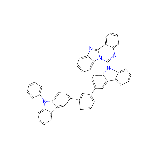 c1ccc(-n2c3ccccc3c3cc(-c4cccc(-c5ccc6c(c5)c5ccccc5n6-c5nc6ccccc6c6nc7ccccc7n56)c4)ccc32)cc1